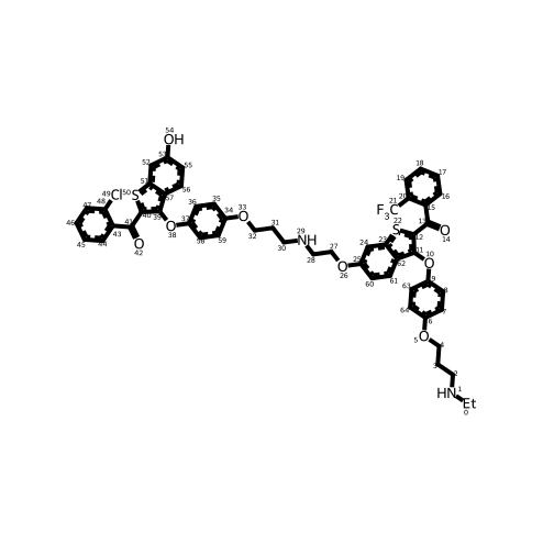 CCNCCCOc1ccc(Oc2c(C(=O)c3ccccc3C(F)(F)F)sc3cc(OCCNCCCOc4ccc(Oc5c(C(=O)c6ccccc6Cl)sc6cc(O)ccc56)cc4)ccc23)cc1